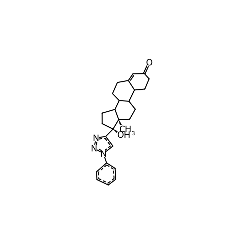 C[C@]12CCC3C4CCC(=O)C=C4CCC3C1CC[C@@]2(O)c1cn(-c2ccccc2)nn1